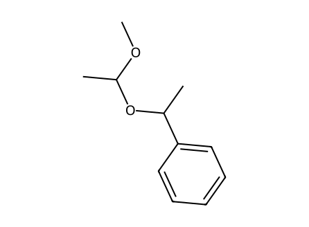 COC(C)OC(C)c1ccccc1